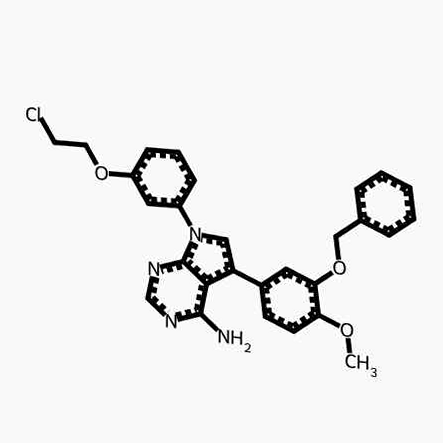 COc1ccc(-c2cn(-c3cccc(OCCCl)c3)c3ncnc(N)c23)cc1OCc1ccccc1